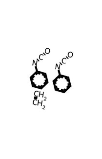 C=C.O=C=Nc1ccccc1.O=C=Nc1ccccc1